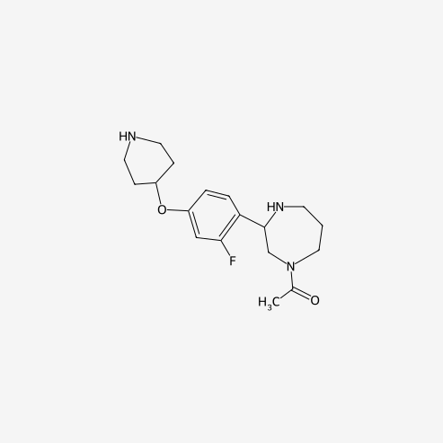 CC(=O)N1CCCNC(c2ccc(OC3CCNCC3)cc2F)C1